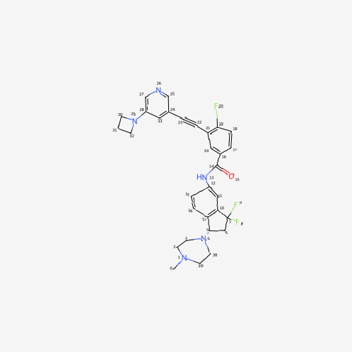 CN1CCN([C@H]2CC(F)(F)c3cc(NC(=O)c4ccc(F)c(C#Cc5cncc(N6CCC6)c5)c4)ccc32)CC1